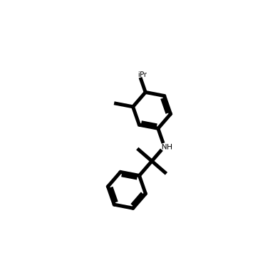 CC(C)C1C=CC(NC(C)(C)c2ccccc2)=CC1C